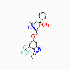 CC(C)n1cnc2cc(OC[C@@H]3C[C@](O)(c4ccccc4)C[C@H](C)N3)cc(C(F)(F)F)c21